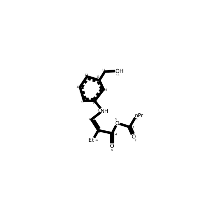 CCCC(=O)OC(=O)C(=CNc1cccc(CO)c1)CC